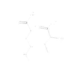 CCC(O)C(=O)O.CCCCCC(=O)O